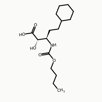 CCCCOC(=O)N[C@H](CCC1CCCCC1)[C@H](O)C(=O)O